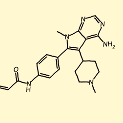 C=CC(=O)Nc1ccc(-c2c(C3CCN(C)CC3)c3c(N)ncnc3n2C)cc1